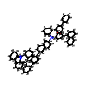 c1ccc(-c2cccc(-c3ccccc3N(c3ccc(-c4cccc5ccccc45)cc3)c3ccc4cc(-c5ccc6c(c5)C5(c7ccccc7-6)c6ccccc6-n6c7ccccc7c7cccc5c76)ccc4c3)c2)cc1